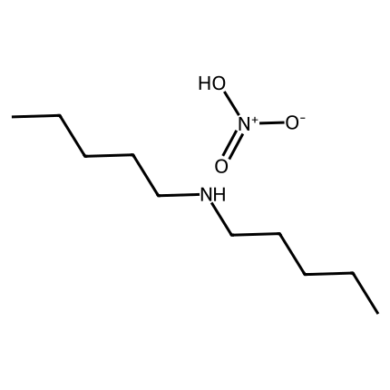 CCCCCNCCCCC.O=[N+]([O-])O